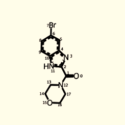 O=C(c1nc2cc(Br)ccc2[nH]1)N1CCOCC1